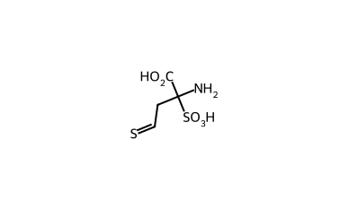 NC(CC=S)(C(=O)O)S(=O)(=O)O